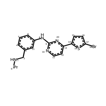 CC(C)NCc1cccc(Nc2nccc(-c3ccc(Br)s3)n2)c1